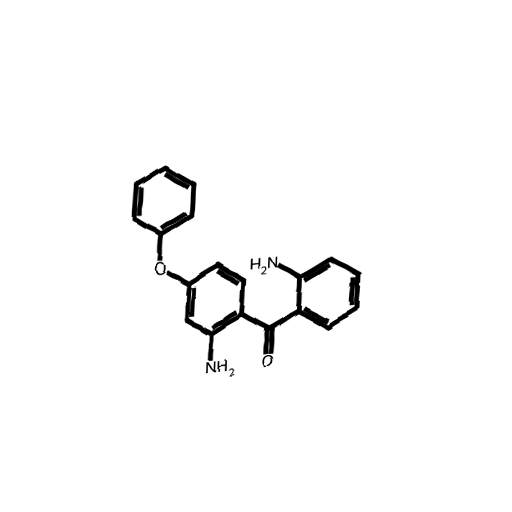 Nc1ccccc1C(=O)c1ccc(Oc2ccccc2)cc1N